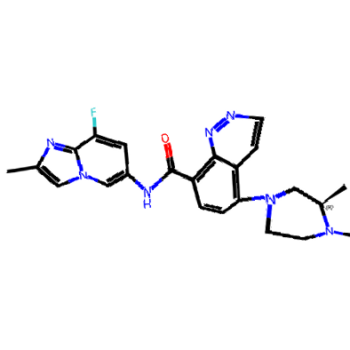 Cc1cn2cc(NC(=O)c3ccc(N4CCN(C)[C@H](C)C4)c4ccnnc34)cc(F)c2n1